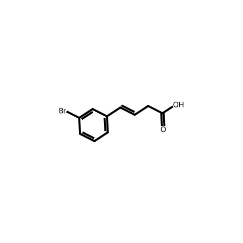 O=C(O)CC=Cc1cccc(Br)c1